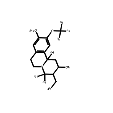 [2H]C([2H])([2H])Oc1cc2c(cc1OC)CCN1C2([2H])CC(O)C(CC(C)C)C1([2H])[2H]